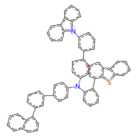 c1cc(-c2ccc(N(c3ccc(-c4cccc(-n5c6ccccc6c6ccccc65)c4)cc3)c3ccccc3-c3cccc4c3sc3ccccc34)cc2)cc(-c2cccc3ccccc23)c1